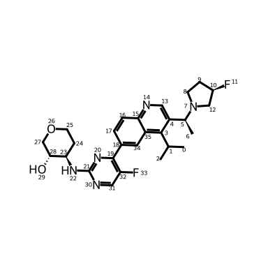 CC(C)c1c([C@H](C)N2CC[C@@H](F)C2)cnc2ccc(-c3nc(N[C@@H]4CCOC[C@H]4O)ncc3F)cc12